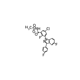 CS(=O)(=O)NC(=O)c1cc(Cl)cc(-n2nc(-c3ccc(F)cc3)c3cc(F)ccc32)c1F